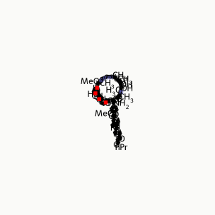 CCCOCCC(=O)N1CCN(c2ncc3c(n2)CCN(C(=O)O[C@@H]2CC[C@@H](C[C@@H](N)[C@@H]4CC(=O)[C@H](C)/C=C(\C)[C@@H](O)[C@@H](O)C(=O)[C@H](C)C[C@H](C)/C=C/C=C/C=C(\C)[C@@H](OC)C[C@@H]5CC[C@@H](C)[C@@](O)(O5)C(=O)C(=O)N5CCCC[C@H]5C(=O)O4)C[C@H]2OC)C3)CC1